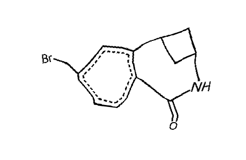 O=C1NC2CC(C2)c2cc(Br)ccc21